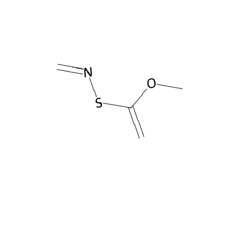 C=NSC(=C)OC